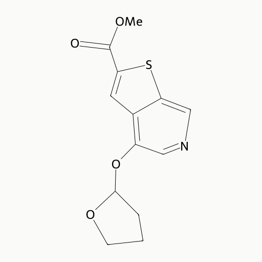 COC(=O)c1cc2c(OC3CCCO3)cncc2s1